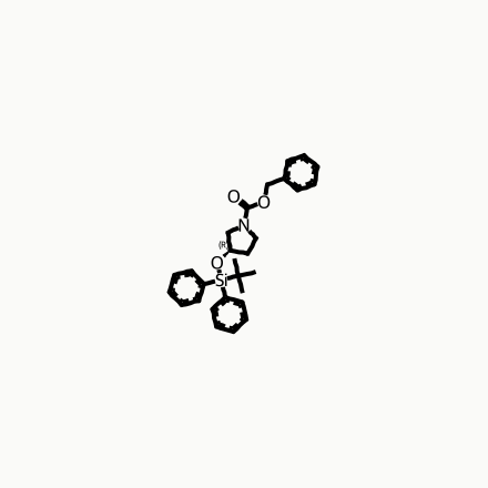 CC(C)(C)[Si](O[C@@H]1CCN(C(=O)OCc2ccccc2)C1)(c1ccccc1)c1ccccc1